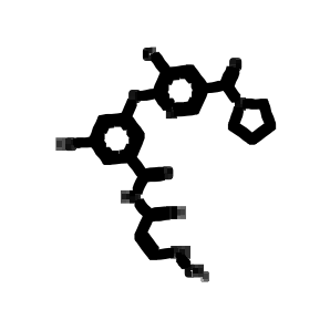 CN/C=C\C(=N)NC(=O)c1cc(O)cc(Oc2ncc(C(=O)N3CCCC3)cc2Cl)c1